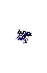 C=CC(=O)Nc1cc(NC2(C3CCCCCC3)NCCC(C3CN(C)c4ccccc43)N2)c(OC)cc1N(C)CCN(C)C